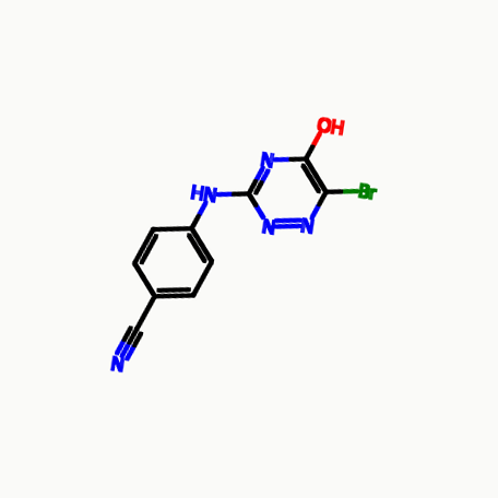 N#Cc1ccc(Nc2nnc(Br)c(O)n2)cc1